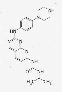 CC(C)NC(=O)Nc1ccc2cnc(Nc3ccc(N4CCNCC4)cc3)nc2n1